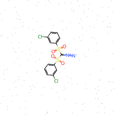 [N-]=[N+]=C(S(=O)(=O)c1cccc(Cl)c1)S(=O)(=O)c1cccc(Cl)c1